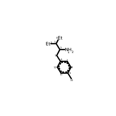 CCC(CC)C(N)Cc1ccc(C)cc1